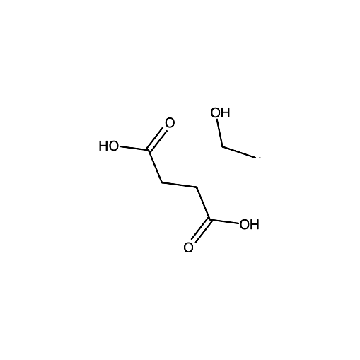 O=C(O)CCC(=O)O.[CH2]CO